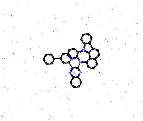 c1ccc(-c2cccc(-c3nc4ccccc4nc3-n3c4cccc5ccc6c7ccccc7n(c7cccnc73)c6c54)c2)cc1